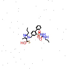 CCCNC(=O)NS(=O)(=O)c1cc(Cn2c(CCC)nc(C)c2C(O)=S)ccc1-c1ccccc1